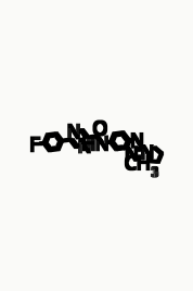 Cn1c(N2CCCC2)nc2ccc(NC(=O)c3cnc(-c4ccc(F)cc4)cn3)cc21